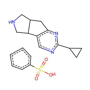 O=S(=O)(O)c1ccccc1.c1nc(C2CC2)nc2c1C1CNCC1C2